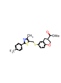 COC(=O)C1COc2ccc(SCc3sc(-c4ccc(C(F)(F)F)cc4)nc3C)cc2C1